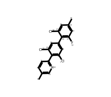 Cc1ccc(-c2c(Cl)cc(-c3c(F)cc(C)cc3Cl)cc2Cl)nc1